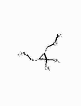 CCOC[C@H]1[C@@H](CC=O)C1(C)C